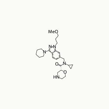 COCCCn1nc(N2CCCCC2)c2ccc(CN(C(=O)[C@H]3CNCCO3)C3CC3)cc21